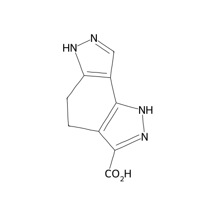 O=C(O)c1n[nH]c2c1CCc1[nH]ncc1-2